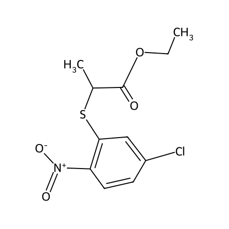 CCOC(=O)C(C)Sc1cc(Cl)ccc1[N+](=O)[O-]